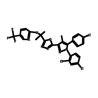 Cc1c(-c2nnc(C(C)(C)Oc3ccc(C(F)(F)F)cn3)o2)nn(-c2ccc(Cl)cc2Cl)c1-c1ccc(Cl)cc1